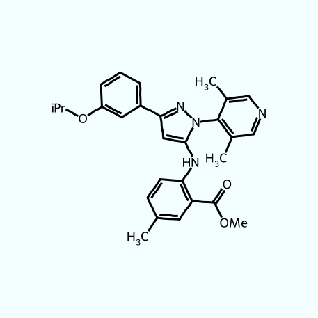 COC(=O)c1cc(C)ccc1Nc1cc(-c2cccc(OC(C)C)c2)nn1-c1c(C)cncc1C